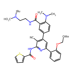 COCOc1ccccc1-c1cc(-c2ccc(N(C)C)c(C(=O)NCCN(C(=O)O)C(C)(C)C)c2)c(C#N)c(NC(=O)c2cccs2)n1